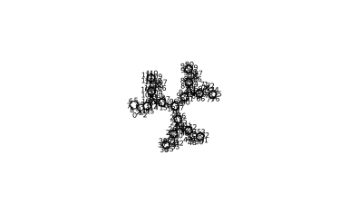 CC1(C)C2=C(CCC=C2)c2cc(N(c3ccc(-c4cc(-c5ccc(N(c6ccc7c(c6)C(C)(C)c6ccccc6-7)c6ccc7c(c6)C(C)(C)c6ccccc6-7)cc5)cc(-c5ccc(N(c6ccc7c(c6)C(C)(C)c6ccccc6-7)c6ccc7c(c6)C(C)(C)c6ccccc6-7)cc5)c4)cc3)c3ccc4c(c3)C(C)(C)c3ccccc3-4)ccc21